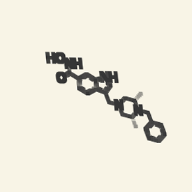 C[C@@H]1CN(Cc2c[nH]c3cc(C(=O)NO)ccc23)C[C@H](C)N1Cc1ccccc1